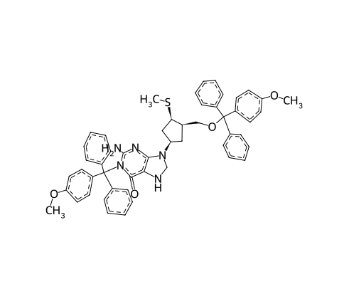 COc1ccc(C(OC[C@H]2C[C@@H](N3CNc4c3nc(N)n(C(c3ccccc3)(c3ccccc3)c3ccc(OC)cc3)c4=O)C[C@H]2SC)(c2ccccc2)c2ccccc2)cc1